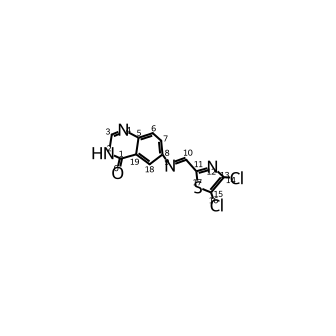 O=c1[nH]cnc2ccc(/N=C/c3nc(Cl)c(Cl)s3)cc12